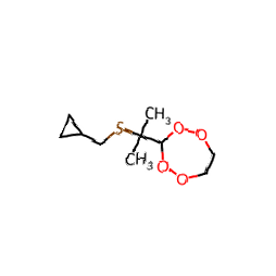 CC(C)(SCC1CC1)C1OOCCOO1